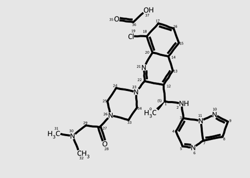 C[C@H](Nc1ccnc2ccnn12)c1cc2cccc(Cl)c2nc1N1CCN(C(=O)CN(C)C)CC1.O=CO